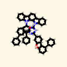 c1ccc(-c2ccc(-n3c4ccccc4c4ccc5c6ccccc6n(-c6nc(-c7cccc(-c8ccccc8)c7)nc(-c7ccc8c(c7)oc7cccc(-c9ccccc9)c78)n6)c5c43)cc2)cc1